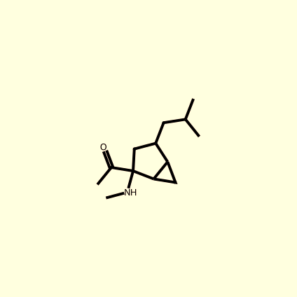 CNC1(C(C)=O)CC(CC(C)C)C2CC21